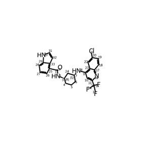 O=C(N[C@@H]1CCC[C@H](Nc2cc(C(F)(F)F)nc3ccc(Cl)cc23)C1)c1cccc2[nH]ccc12